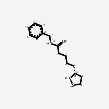 O=C(CCCC[C@@H]1CCSS1)NCc1ccccc1